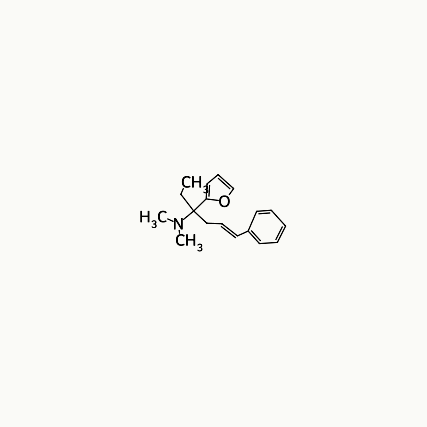 CCC(CC=Cc1ccccc1)(c1ccco1)N(C)C